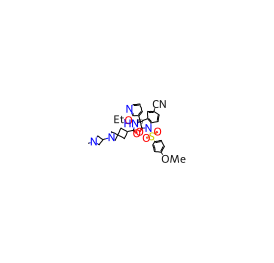 CCOc1ncccc1[C@@]1(NC(=O)C2CC3(C2)CN(C2CN(C)C2)C3)C(=O)N(S(=O)(=O)c2ccc(OC)cc2)c2ccc(C#N)cc21